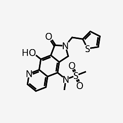 CN(c1c2c(c(O)c3ncccc13)C(=O)N(Cc1cccs1)C2)S(C)(=O)=O